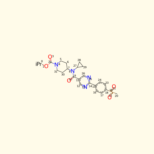 CC(C)OC(=O)N1CCC(N(C(=O)c2cnc(-c3ccc(S(C)(=O)=O)cc3)nc2)C2CC2)CC1